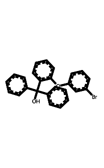 OC(c1ccccc1)(c1ccccc1)c1ccccc1Oc1cccc(Br)c1